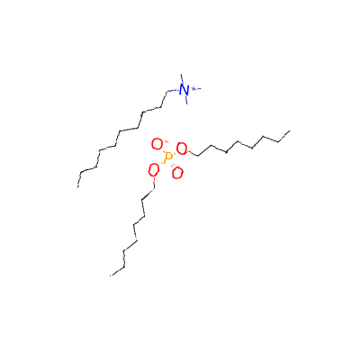 CCCCCCCCCC[N+](C)(C)C.CCCCCCCCOP(=O)([O-])OCCCCCCCC